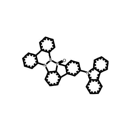 O=P12B3c4ccccc4-c4ccccc4N3c3cccc(c31)-c1cc(-n3c4ccccc4c4ccccc43)ccc12